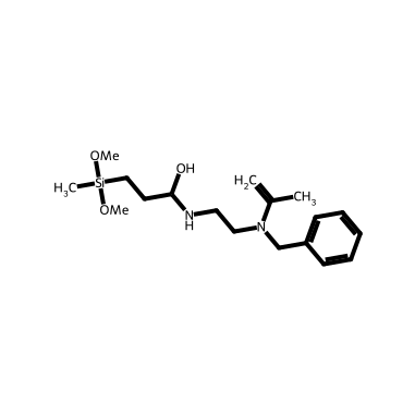 C=C(C)N(CCNC(O)CC[Si](C)(OC)OC)Cc1ccccc1